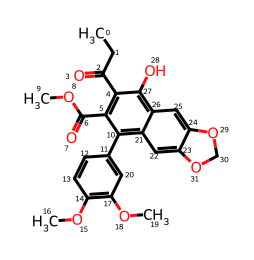 CCC(=O)c1c(C(=O)OC)c(-c2ccc(OC)c(OC)c2)c2cc3c(cc2c1O)OCO3